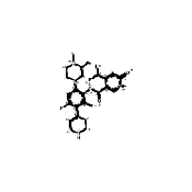 CC1CN(c2cc(F)c(C3=CCNCC3)c(F)c2NC(=O)c2c[nH]c(=O)cc2C(F)F)CCN1C